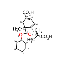 C=C(C)C(=O)O.CC1(C(=O)OC2CCCCC2)C=CC=C(C(=O)O)C1